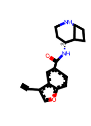 C#Cc1coc2ccc(C(=O)N[C@@H]3CCNC4CCC43)cc12